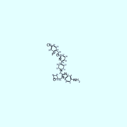 Nc1ccc2c(c1)nc(CN1CC=C(c3cccc(OCc4ccc(Cl)cc4F)n3)CC1)n2C[C@@H]1CCO1